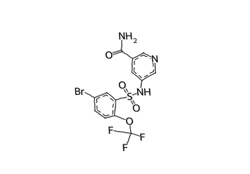 NC(=O)c1cncc(NS(=O)(=O)c2cc(Br)ccc2OC(F)(F)F)c1